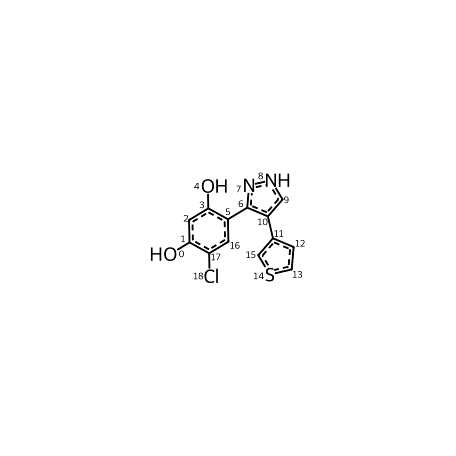 Oc1cc(O)c(-c2n[nH]cc2-c2ccsc2)cc1Cl